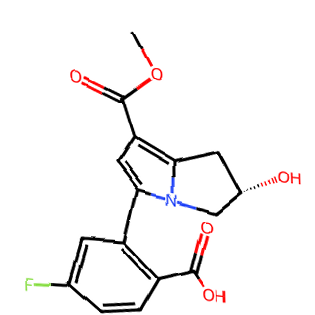 COC(=O)c1cc(-c2cc(F)ccc2C(=O)O)n2c1C[C@H](O)C2